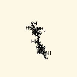 CNC(CCSC1CC(=O)N(C(CN)C(=O)NC(CS)CCS)C1=O)CSC1CC(=O)N(C(CN)C(=O)NC(CS)CCSC)C1=O